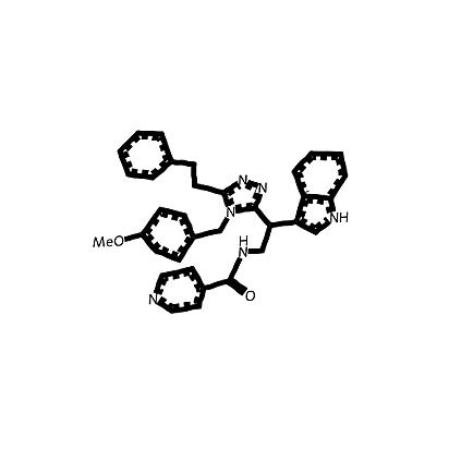 COc1ccc(Cn2c(CCc3ccccc3)nnc2C(CNC(=O)c2ccncc2)c2c[nH]c3ccccc23)cc1